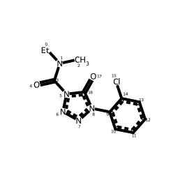 CCN(C)C(=O)n1nnn(-c2ccccc2Cl)c1=O